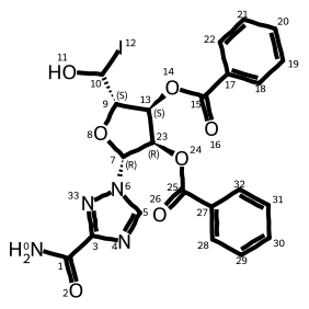 NC(=O)c1ncn([C@@H]2O[C@H](C(O)I)[C@@H](OC(=O)c3ccccc3)[C@H]2OC(=O)c2ccccc2)n1